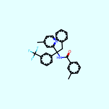 Cc1cccc(C(=O)NC(Cc2ccccc2)(c2cccc(C(F)(F)F)c2)c2cc(C)ccn2)c1